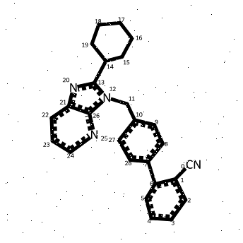 N#Cc1ccccc1-c1ccc(Cn2c(C3CCCCC3)nc3cccnc32)cc1